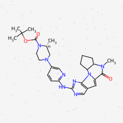 C[C@@H]1CN(c2ccc(Nc3ncc4cc5n(c4n3)C3CCCC3N(C)C5=O)nc2)CCN1C(=O)OC(C)(C)C